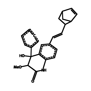 COC1C(=O)Nc2ccc(C=CC3CC4C=CC3C4)cc2C1(O)c1ccccc1